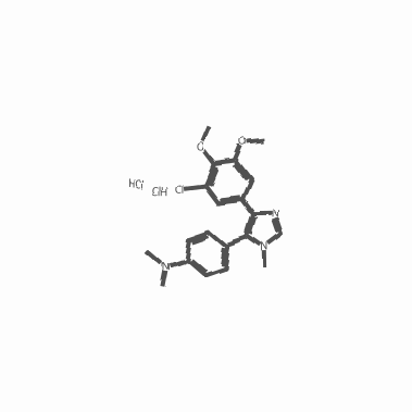 COc1cc(-c2ncn(C)c2-c2ccc(N(C)C)cc2)cc(Cl)c1OC.Cl.Cl